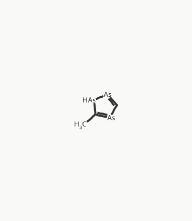 CC1=[As]C=[As][AsH]1